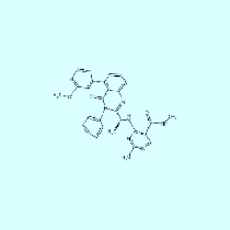 CNC(=O)c1cnc(N)nc1N[C@@H](C)c1nc2cccc(-c3ccnc(OC)c3)c2c(=O)n1-c1ccccc1